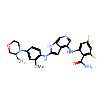 COc1cc(N2CCOC[C@@H]2C)ccc1Nc1cc2c(Nc3cc(F)cc(F)c3C(N)=O)cncc2[nH]1